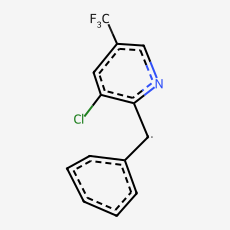 FC(F)(F)c1cnc([CH]c2ccccc2)c(Cl)c1